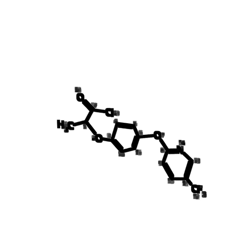 CC(Oc1ccc(Oc2ccc(C(F)(F)F)cn2)cc1)C(=O)Cl